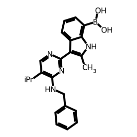 Cc1[nH]c2c(B(O)O)cccc2c1-c1ncc(C(C)C)c(NCc2ccccc2)n1